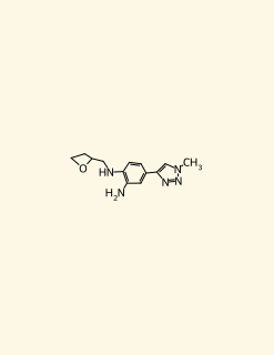 Cn1cc(-c2ccc(NCC3CCO3)c(N)c2)nn1